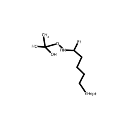 CCCCCCCCCCCC(CC)NOC(C)(O)O